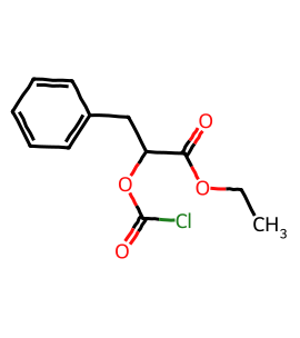 CCOC(=O)C(Cc1ccccc1)OC(=O)Cl